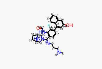 CN(C)CCC/N=C(\c1ccc(-c2cc(O)cc3ccccc23)c(F)c1NC=O)N1CC2CCC(C1)N2